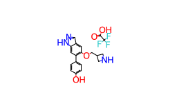 O=C(O)C(F)(F)F.Oc1ccc(-c2cc3[nH]ncc3cc2OCC2CNC2)cc1